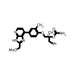 COCc1nc2c(-c3ccc(OC[C@](C)(CC(C)C)OC(N)=O)c(C)c3)ccnc2[nH]1